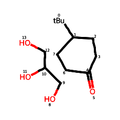 CC(C)(C)C1CCC(=O)CC1.OCC(O)CO